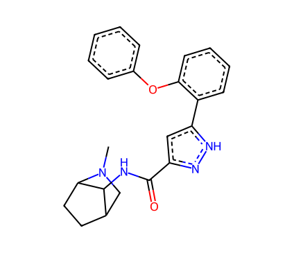 CN1CC2CCC1C2NC(=O)c1cc(-c2ccccc2Oc2ccccc2)[nH]n1